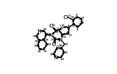 O=c1c2sc(-c3ccccc3Cl)cc2n(Cc2ccncc2)c(=O)n1-c1cncc2ccccc12